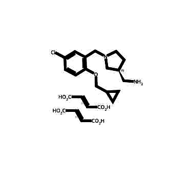 NC[C@@H]1CCN(Cc2cc(Cl)ccc2OCC2CC2)C1.O=C(O)/C=C/C(=O)O.O=C(O)/C=C/C(=O)O